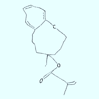 C=C(C)C(=O)OC1(C)CCCc2ccccc2CC1